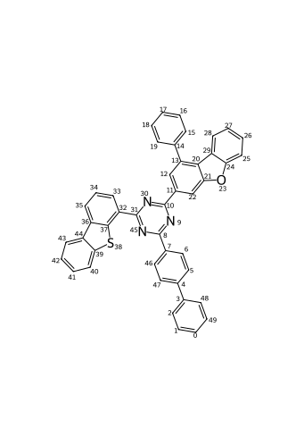 c1ccc(-c2ccc(-c3nc(-c4cc(-c5ccccc5)c5c(c4)oc4ccccc45)nc(-c4cccc5c4sc4ccccc45)n3)cc2)cc1